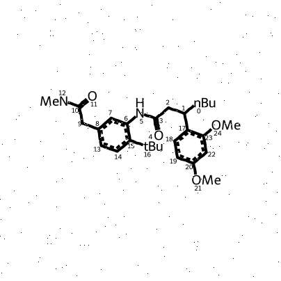 CCCCC(CC(=O)Nc1cc(CC(=O)NC)ccc1C(C)(C)C)c1ccc(OC)cc1OC